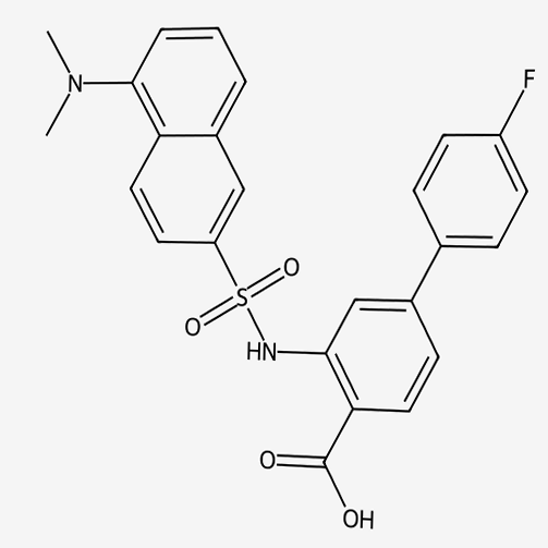 CN(C)c1cccc2cc(S(=O)(=O)Nc3cc(-c4ccc(F)cc4)ccc3C(=O)O)ccc12